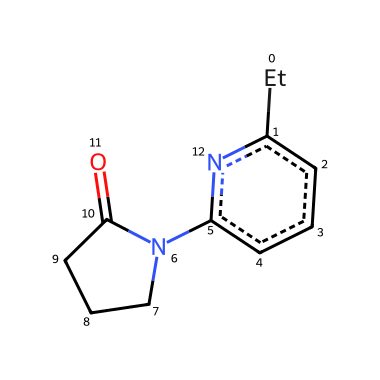 CCc1cccc(N2CCCC2=O)n1